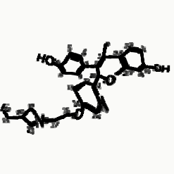 CC1=C(c2ccc(O)cc2)C(c2ccc(OCCN3CC(CF)C3)cn2)Oc2cc(O)ccc21